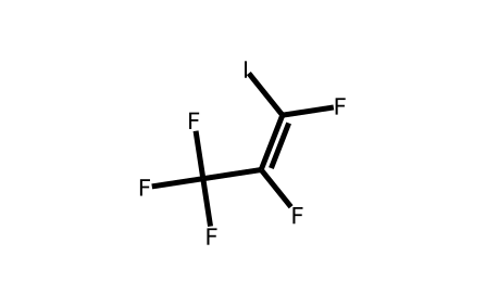 F/C(I)=C(\F)C(F)(F)F